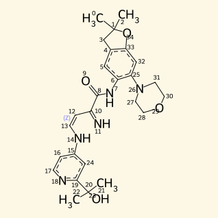 CC1(C)Cc2cc(NC(=O)C(=N)/C=C\Nc3ccnc(C(C)(C)O)c3)c(N3CCOCC3)cc2O1